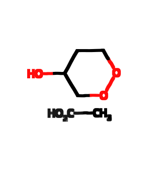 CC(=O)O.OC1CCOOC1